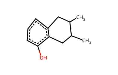 CC1Cc2cccc(O)c2CC1C